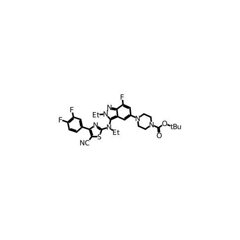 CCN(c1nc(-c2ccc(F)c(F)c2)c(C#N)s1)c1c2cc(N3CCN(C(=O)OC(C)(C)C)CC3)cc(F)c2nn1CC